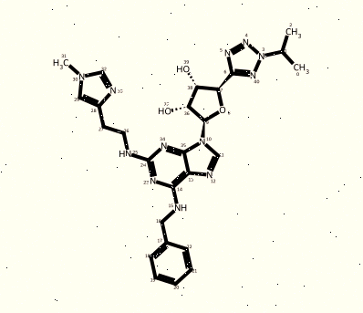 CC(C)n1nnc([C@H]2O[C@@H](n3cnc4c(NCc5ccccc5)nc(NCCc5cn(C)cn5)nc43)[C@H](O)[C@@H]2O)n1